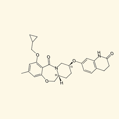 Cc1cc(OCC2CC2)c2c(c1)OC[C@H]1CC[C@H](Oc3ccc4c(c3)NC(=O)CC4)CN1C2=O